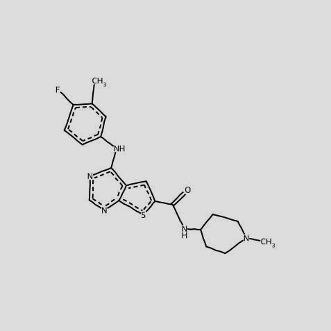 Cc1cc(Nc2ncnc3sc(C(=O)NC4CCN(C)CC4)cc23)ccc1F